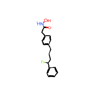 O=C(Cc1ccc(CCCC(F)c2ccccc2)cc1)NO